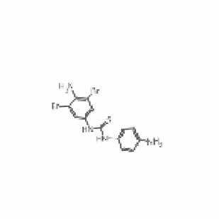 Nc1ccc(NC(=S)Nc2cc(Br)c(N)c(Br)c2)cc1